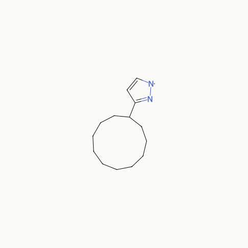 C1=CC(C2CCCCCCCCCC2)=N[N]1